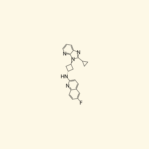 Fc1ccc2nc(N[C@H]3C[C@H](n4c(C5CC5)nc5cccnc54)C3)ccc2c1